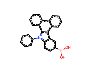 OB(O)c1ccc2c(c1)c1c3ccccc3c3ccccc3c1n2-c1ccccc1